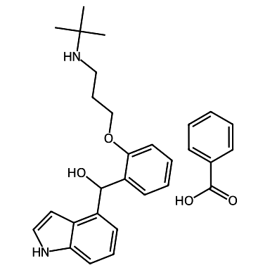 CC(C)(C)NCCCOc1ccccc1C(O)c1cccc2[nH]ccc12.O=C(O)c1ccccc1